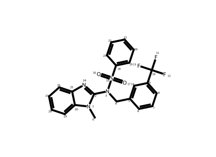 Cn1c(N(Cc2cccc(C(F)(F)F)c2)S(=O)(=O)c2ccccc2)nc2ccccc21